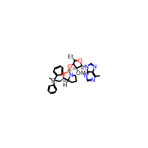 CC[C@H]1O[C@@H](n2cnc3c(C)ncnc32)[C@@H](OC)C1O[P@@]1O[C@H](C[Si](C)(c2ccccc2)c2ccccc2)[C@@H]2CCCN21